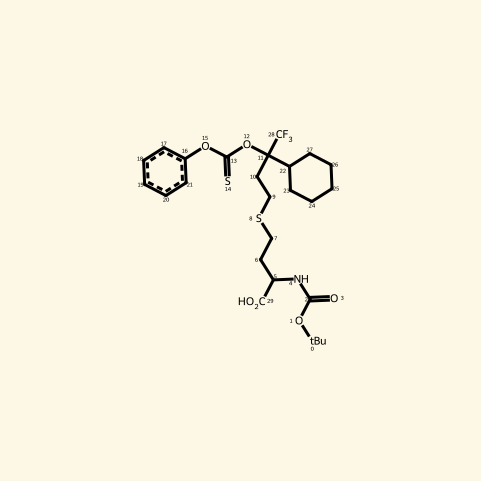 CC(C)(C)OC(=O)NC(CCSCCC(OC(=S)Oc1ccccc1)(C1CCCCC1)C(F)(F)F)C(=O)O